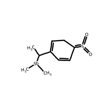 C[CH](C1=CCC(=S(=O)=O)C=C1)[Sb]([CH3])[CH3]